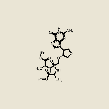 CC(C)OC(=O)[C@H](C)NP(=O)(CO[C@H]1COCC1n1cnc2c(=O)[nH]c(N)nc21)N[C@@H](C)C(=O)OC(C)C